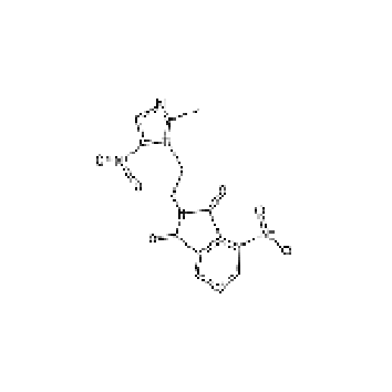 Cc1ncc([N+](=O)[O-])n1CCN1C(=O)c2cccc([N+](=O)[O-])c2C1=O